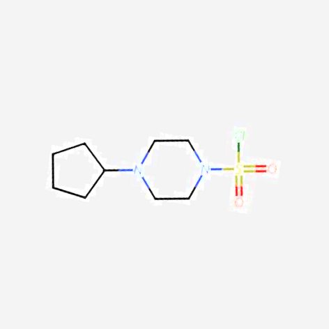 O=S(=O)(Cl)N1CCN(C2CCCC2)CC1